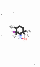 CC1CCC(C)(C)/C(=N\O)C1(C)I